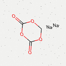 O=C1OCOC(=O)O1.[Na].[Na]